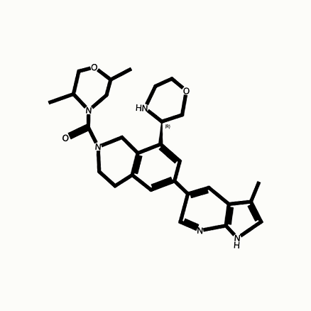 Cc1c[nH]c2ncc(-c3cc4c(c([C@@H]5COCCN5)c3)CN(C(=O)N3CC(C)OCC3C)CC4)cc12